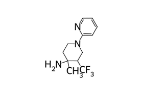 CC1(N)CCN(c2ccccn2)CC1C(F)(F)F